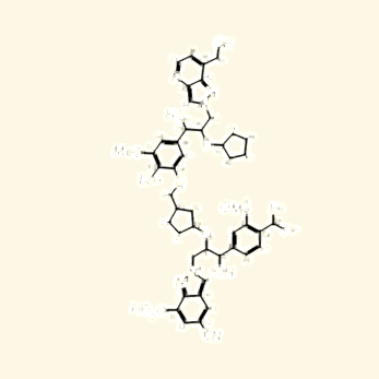 COc1cc(C(O)C(Cn2cc3cc(C#N)cc(C(=O)O)c3n2)OC2CCC(COc3cc(C(O)C(Cn4cc5nccc(CO)c5n4)OC4CCCC4)cc(OC)c3Br)C2)ccc1C(F)F